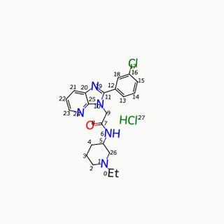 CCN1CCCC(NC(=O)Cn2c(-c3cccc(Cl)c3)nc3cccnc32)C1.Cl